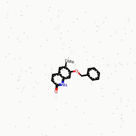 COc1cc2ccc(=O)[nH]c2cc1OCc1ccccc1